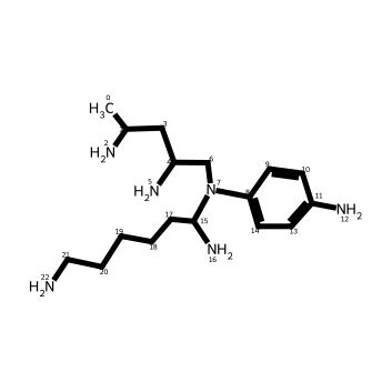 CC(N)CC(N)CN(c1ccc(N)cc1)C(N)CCCCCN